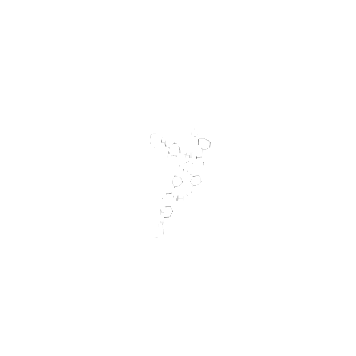 CCOc1cccc(C2=CC(Oc3cccc(OC)c3-c3cc(C(=O)Nc4ccc(N5CCCCCC5)nc4)ccc3C)(C(=O)Nc3ccc(N4CCCCCC4)nc3)CC=C2C)c1